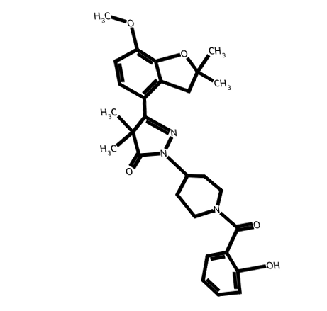 COc1ccc(C2=NN(C3CCN(C(=O)c4ccccc4O)CC3)C(=O)C2(C)C)c2c1OC(C)(C)C2